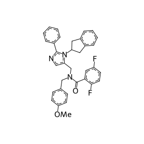 COc1ccc(CN(Cc2cnc(-c3ccccc3)n2C2Cc3ccccc3C2)C(=O)c2cc(F)ccc2F)cc1